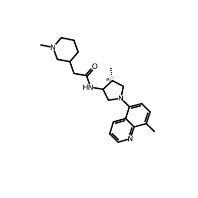 Cc1ccc(N2CC(NC(=O)CC3CCCN(C)C3)[C@H](C)C2)c2cccnc12